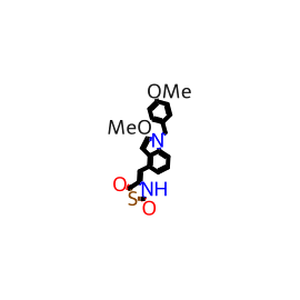 COc1ccc(Cn2ccc3c(C=C4NC(=O)SC4=O)cccc32)c(OC)c1